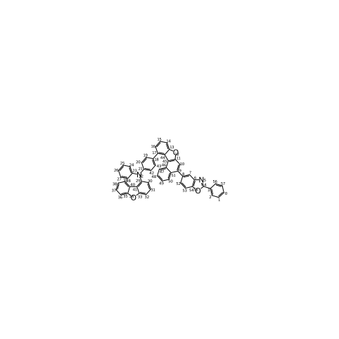 c1ccc(-c2nc3cc(-c4cc5oc6cccc(-c7ccc(N(c8ccccc8)c8cccc9oc%10ccccc%10c89)cc7)c6c5c5ccccc45)ccc3o2)cc1